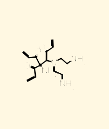 C=CC(=O)C(N(CCN)CCN)C(N)(C(=O)C=C)C(=O)C=C